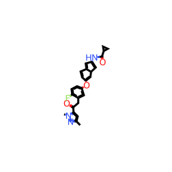 Cc1cc(C(=O)Cc2cc(OC3=CC4C=C(NC(=O)C5CC5)C=C4C=C3)ccc2F)n(C)n1